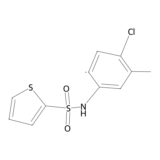 Cc1cc(NS(=O)(=O)c2cccs2)[c]cc1Cl